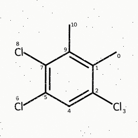 Cc1c(Cl)cc(Cl)c(Cl)c1C